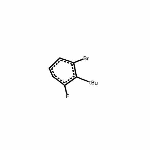 CC(C)(C)c1c(F)cccc1Br